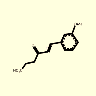 COc1cccc(/C=C/C(=O)CCC(=O)O)c1